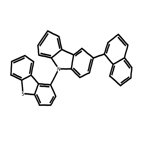 c1ccc2c(-c3ccc4c(c3)c3ccccc3n4-c3cccc4sc5ccccc5c34)cccc2c1